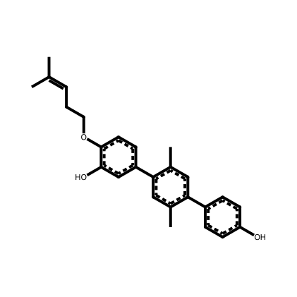 CC(C)=CCCOc1ccc(-c2cc(C)c(-c3ccc(O)cc3)cc2C)cc1O